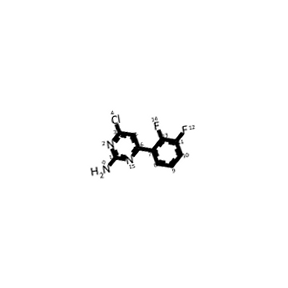 Nc1nc(Cl)cc(-c2cccc(F)c2F)n1